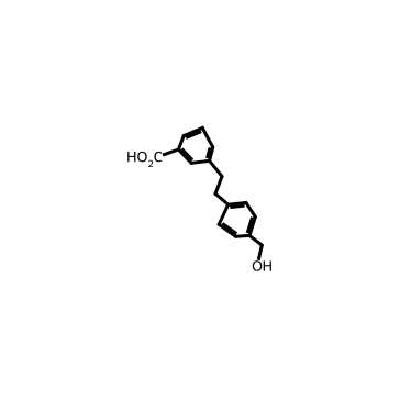 O=C(O)c1cccc(CCc2ccc(CO)cc2)c1